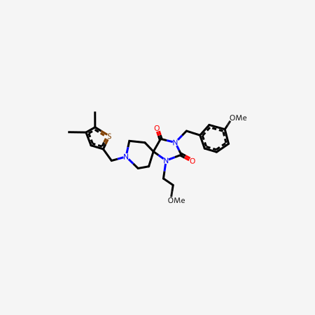 COCCN1C(=O)N(Cc2cccc(OC)c2)C(=O)C12CCN(Cc1cc(C)c(C)s1)CC2